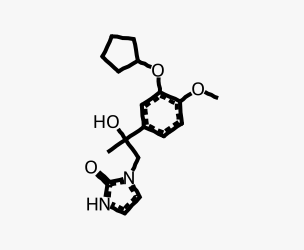 COc1ccc(C(C)(O)Cn2cc[nH]c2=O)cc1OC1CCCC1